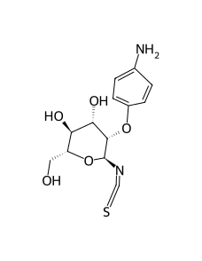 Nc1ccc(O[C@H]2[C@@H](O)[C@H](O)[C@@H](CO)O[C@@H]2N=C=S)cc1